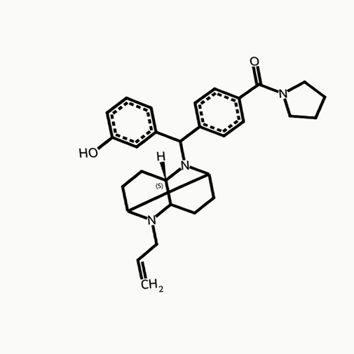 C=CCN1C2CC[C@H]3C1CCC2N3C(c1ccc(C(=O)N2CCCC2)cc1)c1cccc(O)c1